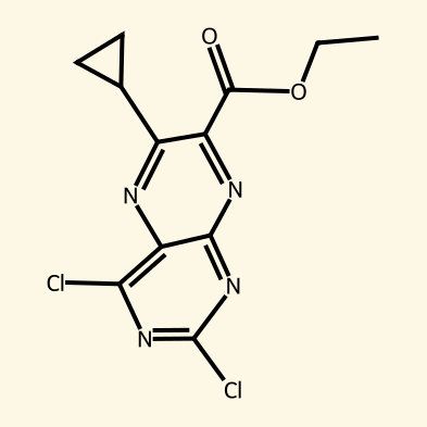 CCOC(=O)c1nc2nc(Cl)nc(Cl)c2nc1C1CC1